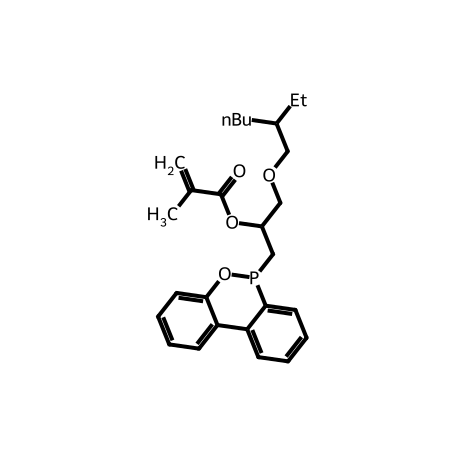 C=C(C)C(=O)OC(COCC(CC)CCCC)CP1Oc2ccccc2-c2ccccc21